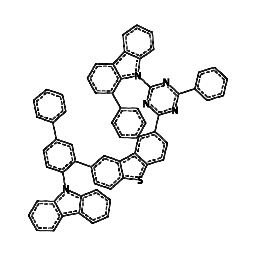 c1ccc(-c2ccc(-n3c4ccccc4c4ccccc43)c(-c3ccc4sc5ccc(-c6nc(-c7ccccc7)nc(-n7c8ccccc8c8cccc(-c9ccccc9)c87)n6)cc5c4c3)c2)cc1